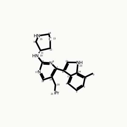 Cc1cccc2c(-c3nc(N[C@H]4CCCNC4)ncc3CC(C)C)c[nH]c12